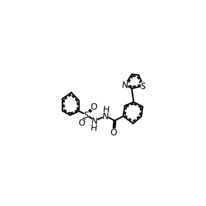 O=C(NNS(=O)(=O)c1ccccc1)c1cccc(-c2nccs2)c1